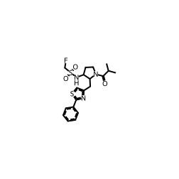 CC(C)C(=O)N1CCC(NS(=O)(=O)CF)C1Cc1csc(-c2ccccc2)n1